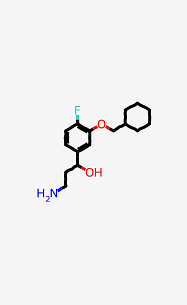 NCCC(O)c1ccc(F)c(OCC2CCCCC2)c1